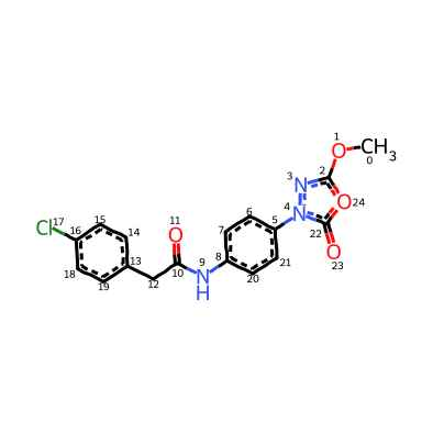 COc1nn(-c2ccc(NC(=O)Cc3ccc(Cl)cc3)cc2)c(=O)o1